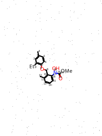 CCc1cc(C)ccc1OCc1c(C)cccc1N(O)C(=O)OC